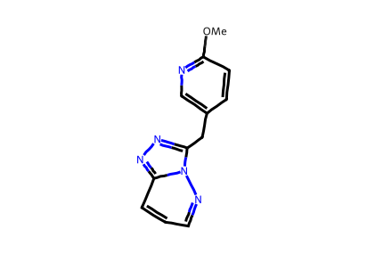 COc1ccc(Cc2nnc3cccnn23)cn1